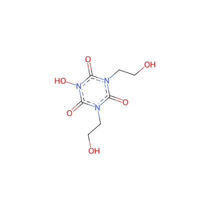 O=c1n(O)c(=O)n(CCO)c(=O)n1CCO